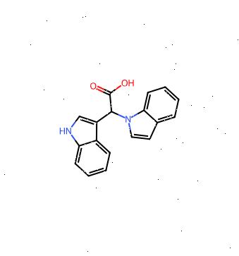 O=C(O)C(c1c[nH]c2ccccc12)n1ccc2ccccc21